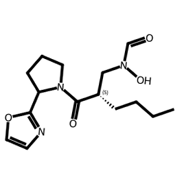 CCCC[C@@H](CN(O)C=O)C(=O)N1CCCC1c1ncco1